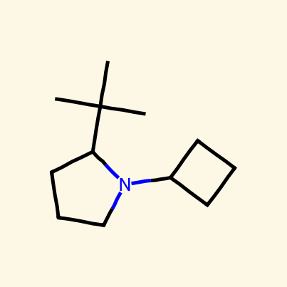 CC(C)(C)C1CCCN1C1CCC1